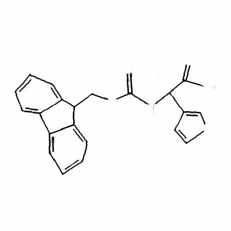 C[C@](NC(=O)OCC1c2ccccc2-c2ccccc21)(C(=O)O)c1ccsc1